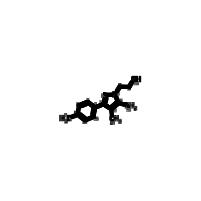 Cc1ccc(-c2nn(CCO)c(N)c2C)cc1